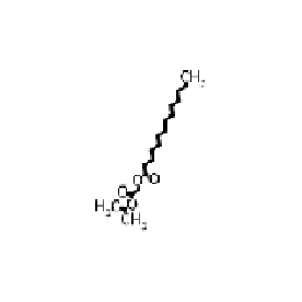 CCCCCCCCCCCCCC(=O)OCC(=O)OC(C)C